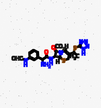 CC(Sc1nnn[nH]1)C1=C(C(=O)O)N2C(=O)C(NC(=O)C(N)c3cccc(NC=O)c3)[C@@H]2SC1